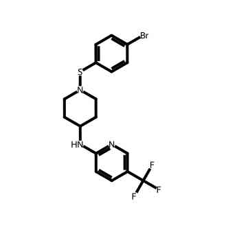 FC(F)(F)c1ccc(NC2CCN(Sc3ccc(Br)cc3)CC2)nc1